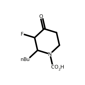 CCCCC1C(F)C(=O)CCN1C(=O)O